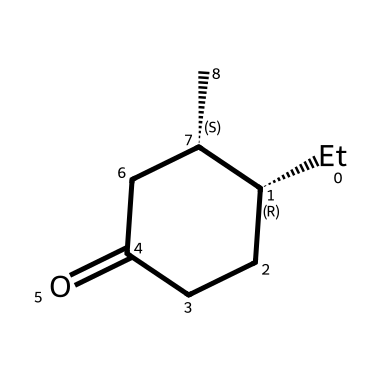 CC[C@@H]1CCC(=O)C[C@@H]1C